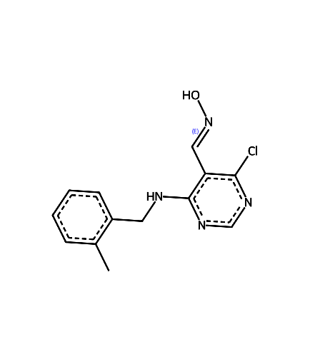 Cc1ccccc1CNc1ncnc(Cl)c1/C=N/O